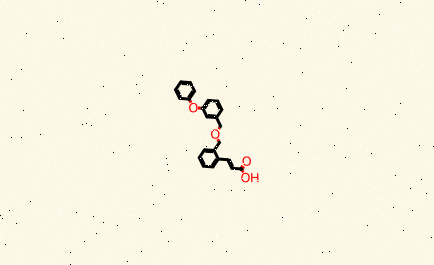 O=C(O)C=Cc1ccccc1COCc1cccc(Oc2ccccc2)c1